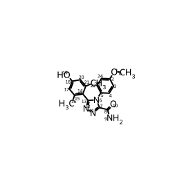 COc1ccc(-n2c(C(N)=O)nnc2-c2c(C)cc(O)cc2C)cc1